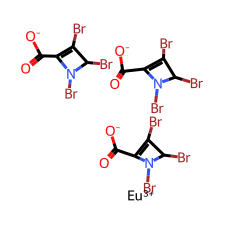 O=C([O-])C1=C(Br)C(Br)N1Br.O=C([O-])C1=C(Br)C(Br)N1Br.O=C([O-])C1=C(Br)C(Br)N1Br.[Eu+3]